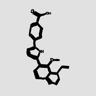 CCc1cccc2ccc(-c3ccc(-c4ccc(C(=O)O)cc4)[nH]3)c(OC)c12